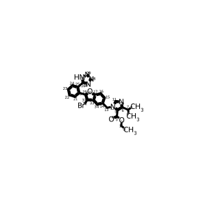 CCOC(=O)c1c(C(C)C)ncn1Cc1ccc2oc(-c3ccccc3-c3nnn[nH]3)c(Br)c2c1